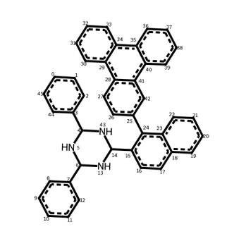 c1ccc(C2NC(c3ccccc3)NC(c3ccc4ccccc4c3-c3ccc4c5ccccc5c5ccccc5c4c3)N2)cc1